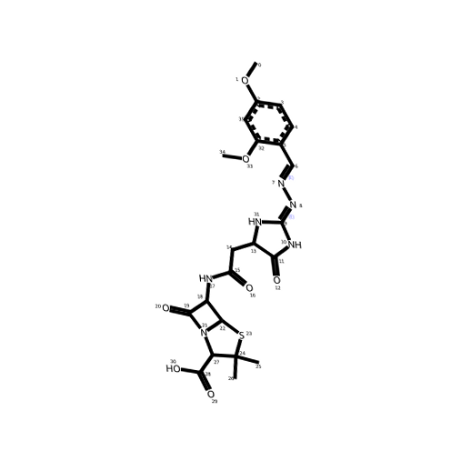 COc1ccc(/C=N/N=C2/NC(=O)C(CC(=O)NC3C(=O)N4C3SC(C)(C)C4C(=O)O)N2)c(OC)c1